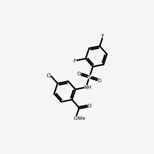 COC(=O)c1ccc(Cl)cc1NS(=O)(=O)c1ccc(F)cc1F